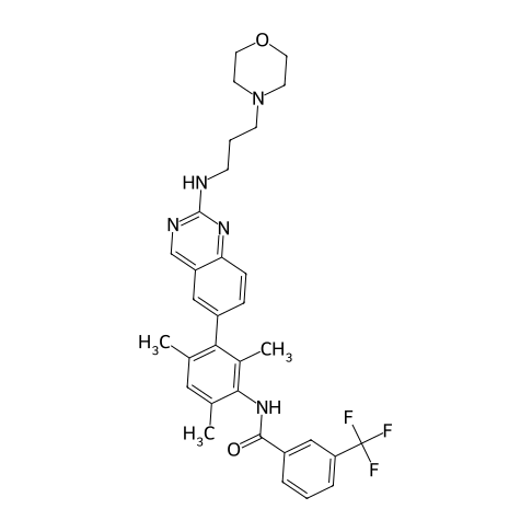 Cc1cc(C)c(-c2ccc3nc(NCCCN4CCOCC4)ncc3c2)c(C)c1NC(=O)c1cccc(C(F)(F)F)c1